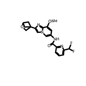 COc1cc(NC(=O)c2cccc(C(F)F)n2)cn2cc(C34COC(C3)C4)nc12